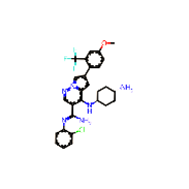 COc1ccc(-c2cc3c(N[C@H]4CC[C@H](N)CC4)c(/C(N)=N/c4ccccc4Cl)cnn3c2)c(C(F)(F)F)c1